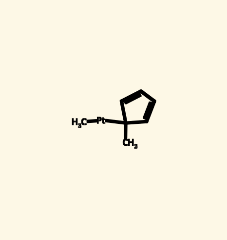 [CH3][Pt][C]1(C)C=CC=C1